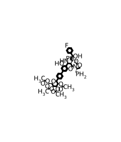 CC(=O)OC[C@H]1OC(c2ccc(-c3ccc([C@@H](NP)[C@@H](CC[C@H](O)c4ccc(F)cc4)C(=O)N4C(=O)OC[C@@H]4CP)c(O)c3)cc2)[C@H](OC(C)=O)[C@@H](OC(C)=O)[C@@H]1OC(C)=O